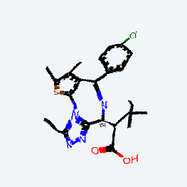 Cc1sc2c(c1C)C(c1ccc(Cl)cc1)=N[C@@H](C(C(=O)O)C(C)(C)C)c1nnc(C)n1-2